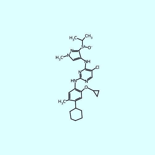 Cc1cc(Nc2ncc(Cl)c(Nc3cn(C)nc3[S+]([O-])C(C)C)n2)c(OC2CC2)cc1C1CCCCC1